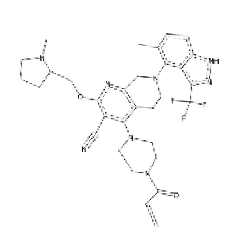 C=CC(=O)N1CCN(c2c(C#N)c(OCC3CCCN3C)nc3c2CCN(c2c(C)ccc4[nH]nc(C(F)(F)F)c24)C3)CC1